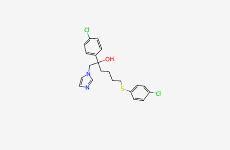 OC(CCCCSc1ccc(Cl)cc1)(Cn1ccnc1)c1ccc(Cl)cc1